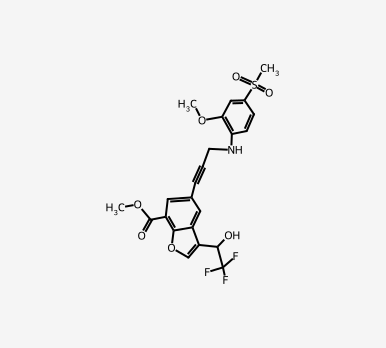 COC(=O)c1cc(C#CCNc2ccc(S(C)(=O)=O)cc2OC)cc2c(C(O)C(F)(F)F)coc12